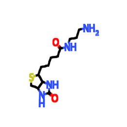 NCCCNC(=O)CCCCC1SCC2NC(=O)NC21